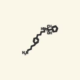 C[C@H](NCCCCc1ccc(CCCCN)cc1)[C@H](O)c1ccccc1